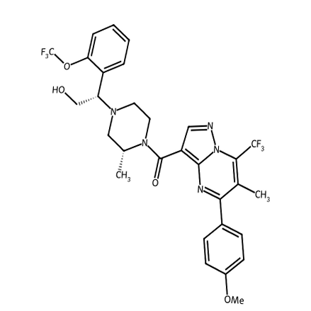 COc1ccc(-c2nc3c(C(=O)N4CCN([C@H](CO)c5ccccc5OC(F)(F)F)C[C@H]4C)cnn3c(C(F)(F)F)c2C)cc1